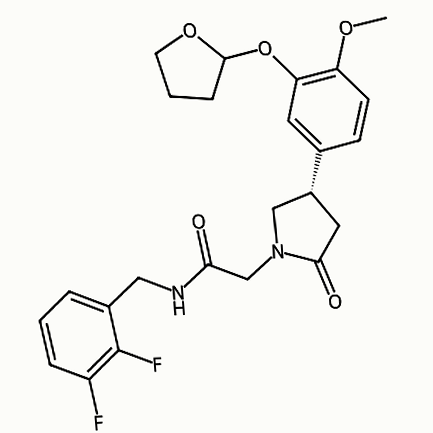 COc1ccc([C@@H]2CC(=O)N(CC(=O)NCc3cccc(F)c3F)C2)cc1OC1CCCO1